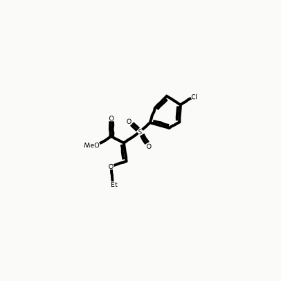 CCO/C=C(\C(=O)OC)S(=O)(=O)c1ccc(Cl)cc1